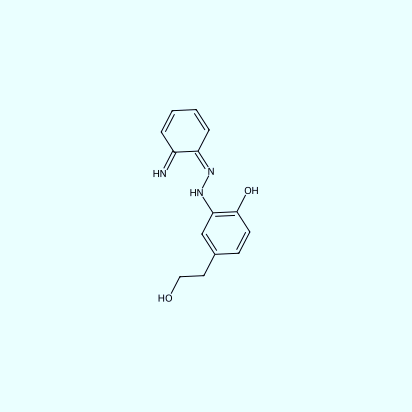 N=C1C=CC=C/C1=N/Nc1cc(CCO)ccc1O